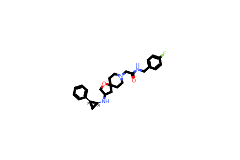 O=C(CN1CCC2(CC1)CC(N[C@@H]1C[C@H]1c1ccccc1)CO2)NCc1ccc(F)cc1